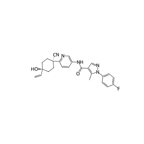 C=C[C@]1(O)CC[C@@](C#N)(c2ccc(NC(=O)c3cnn(-c4ccc(F)cc4)c3C)cn2)CC1